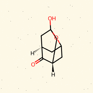 O=C1[C@@H]2CC3C[C@H]1CC(O)(C2)O3